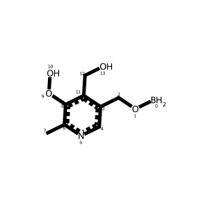 BOCc1cnc(C)c(OO)c1CO